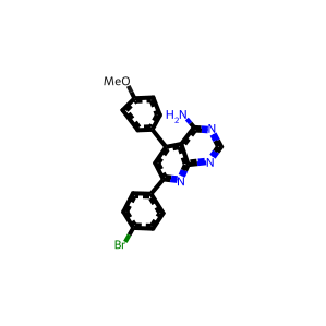 COc1ccc(-c2cc(-c3ccc(Br)cc3)nc3ncnc(N)c23)cc1